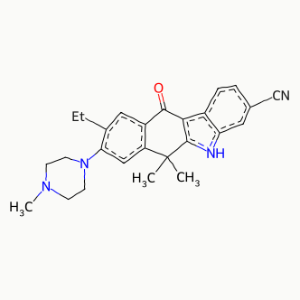 CCc1cc2c(cc1N1CCN(C)CC1)C(C)(C)c1[nH]c3cc(C#N)ccc3c1C2=O